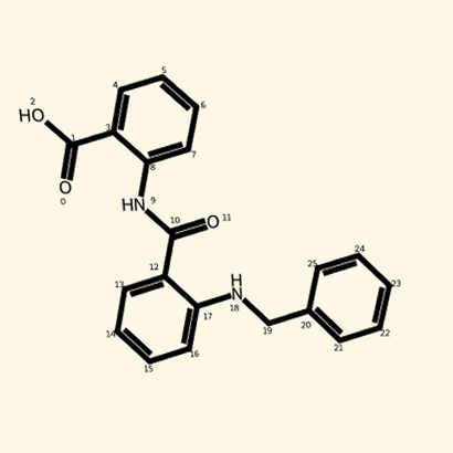 O=C(O)c1ccccc1NC(=O)c1ccccc1NCc1ccccc1